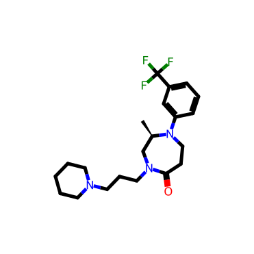 C[C@@H]1CN(CCCN2CCCCC2)C(=O)CCN1c1cccc(C(F)(F)F)c1